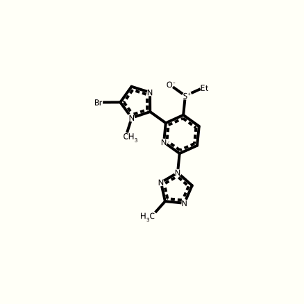 CC[S+]([O-])c1ccc(-n2cnc(C)n2)nc1-c1ncc(Br)n1C